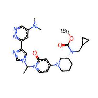 CC(n1cnc(-c2cc(N(C)C)cnn2)c1)n1ccc(N2CCC[C@@H](N(CC3CC3)C(=O)OC(C)(C)C)C2)cc1=O